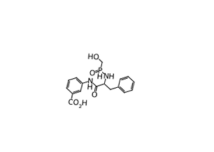 O=C(O)c1cccc(NC(=O)C(Cc2ccccc2)N[PH](=O)CO)c1